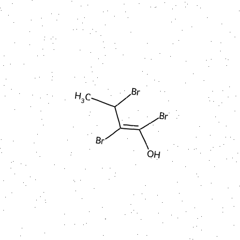 CC(Br)/C(Br)=C(/O)Br